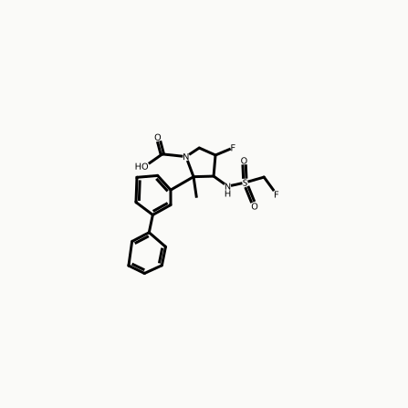 CC1(c2cccc(-c3ccccc3)c2)C(NS(=O)(=O)CF)C(F)CN1C(=O)O